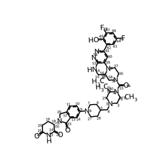 C[C@@H]1CN(CC2CCN(c3ccc4c(c3)C(=O)N([C@H]3CCC(=O)NC3=O)C4)CC2)C[C@@H](C)N1C(=O)N1CCN2c3cc(-c4cc(F)cc(F)c4O)nnc3NC[C@]2(C)C1